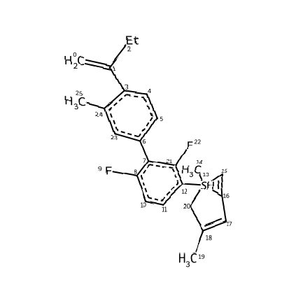 C=C(CC)c1ccc(-c2c(F)ccc([SH]34(C)C=C3C=C(C)C4)c2F)cc1C